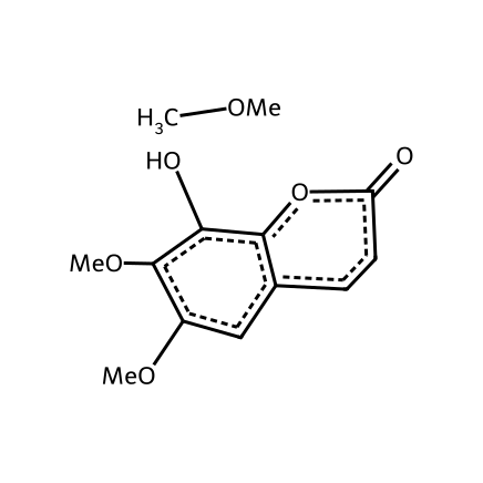 COC.COc1cc2ccc(=O)oc2c(O)c1OC